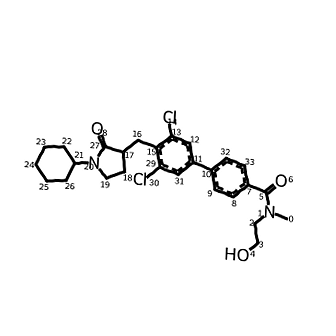 CN(CCO)C(=O)c1ccc(-c2cc(Cl)c(CC3CCN(C4CCCCC4)C3=O)c(Cl)c2)cc1